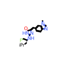 CC(C)C[C@H](CF)NC1=N/C(=C\c2ccc3ncn(C)c3c2)C(=O)N1